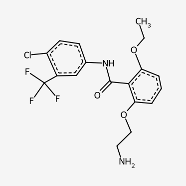 CCOc1cccc(OCCN)c1C(=O)Nc1ccc(Cl)c(C(F)(F)F)c1